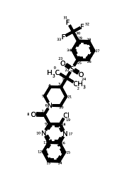 CC(C)(C1CCN(C(=O)c2nc3ccccc3nc2Cl)CC1)S(=O)(=O)c1cccc(C(F)(F)F)c1